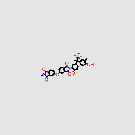 Cc1cc(C(C)(c2ccc(O)c(N3C(=O)c4ccc(Oc5ccc6c(c5)C(=O)N(C)C6=O)cc4C3=O)c2)C(F)(F)F)ccc1O